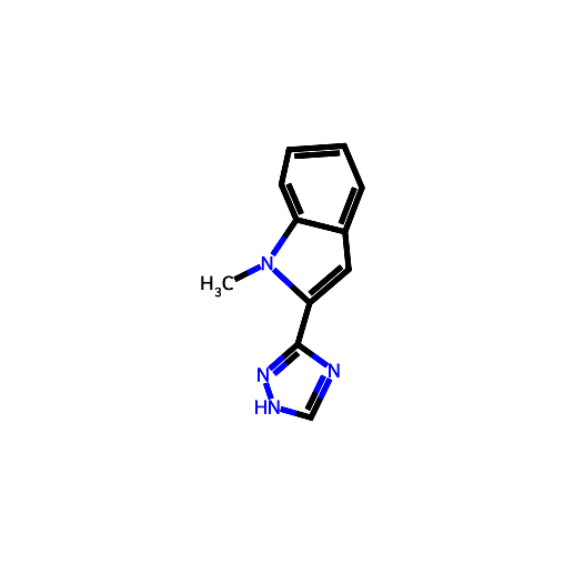 Cn1c(-c2nc[nH]n2)cc2ccccc21